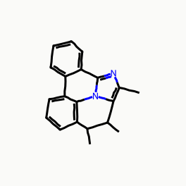 Cc1nc2c3ccccc3c3cccc4c3n2c1C(C)C4C